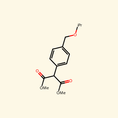 COC(=O)C(C(=O)OC)c1ccc(COC(C)C)cc1